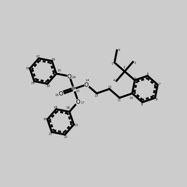 CCC(C)(C)c1ccccc1CCCOP(=O)(Oc1ccccc1)Oc1ccccc1